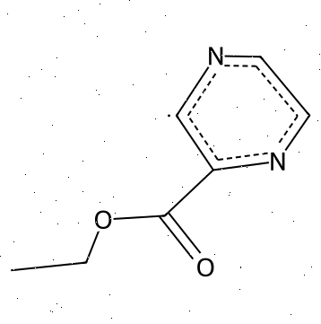 CCOC(=O)c1[c]nccn1